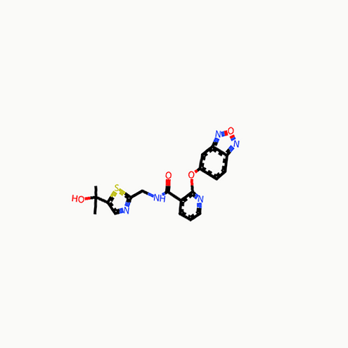 CC(C)(O)c1cnc(CNC(=O)c2cccnc2Oc2ccc3nonc3c2)s1